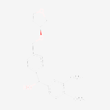 COc1ccc(C(O)c2ccc(CO[C@H]3CCOC3)cc2)cc1OC